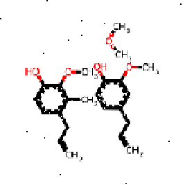 C=CCc1ccc(O)c(OC)c1.C=CCc1ccc(O)c(OC)c1C.COC